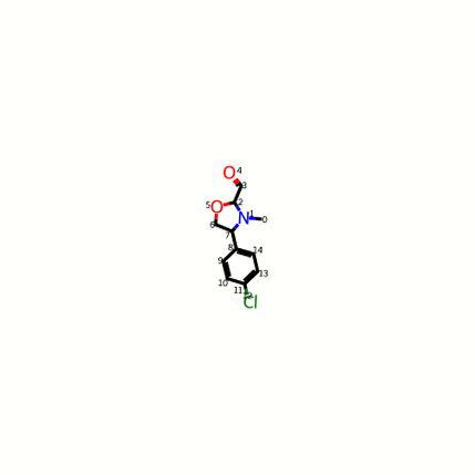 CN1C(C=O)OCC1c1ccc(Cl)cc1